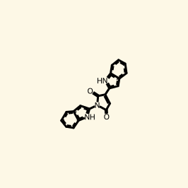 O=C1C=C(c2cc3ccccc3[nH]2)C(=O)N1c1cc2ccccc2[nH]1